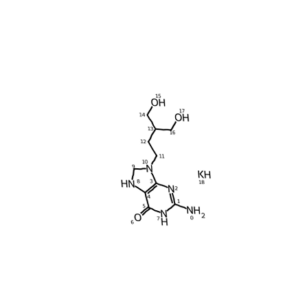 Nc1nc2c(c(=O)[nH]1)NCN2CCC(CO)CO.[KH]